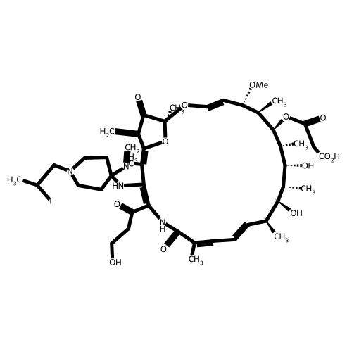 C=NC1(NC2=C(C(=O)CCO)NC(=O)/C(C)=C\C=C\[C@H](C)[C@H](O)[C@@H](C)[C@@H](O)[C@@H](C)[C@H](OC(=O)CC(=O)O)[C@H](C)[C@@H](OC)/C=C/O[C@@]3(C)OC(=C2C)C(=C)C3=O)CCN(CC(C)I)CC1